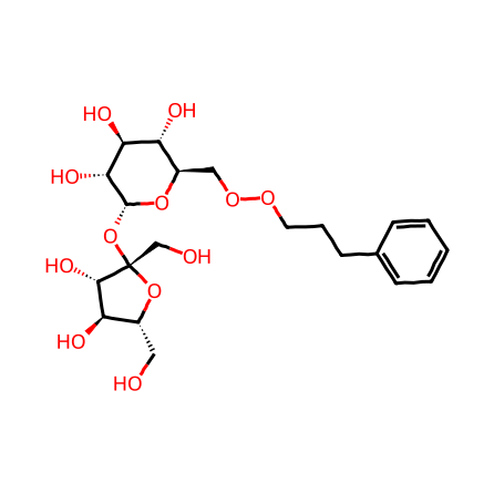 OC[C@H]1O[C@@](CO)(O[C@H]2O[C@H](COOCCCc3ccccc3)[C@@H](O)[C@H](O)[C@H]2O)[C@@H](O)[C@@H]1O